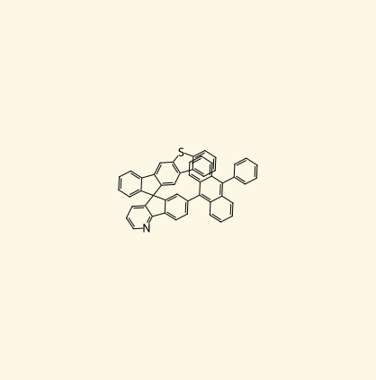 c1ccc(-c2c3ccccc3c(-c3ccc4c(c3)C3(c5ccccc5-c5cc6sc7ccccc7c6cc53)c3cccnc3-4)c3ccccc23)cc1